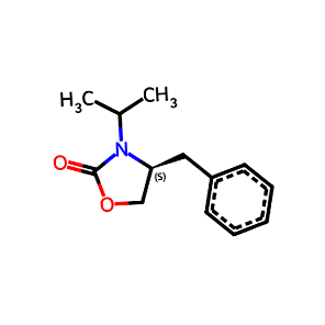 CC(C)N1C(=O)OC[C@@H]1Cc1ccccc1